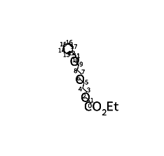 CCOC(=O)COCCCOCCCOCc1ccccc1